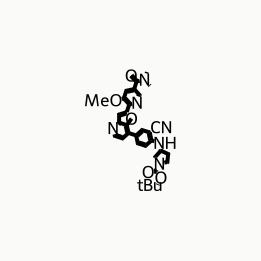 COc1cc(C(=O)N(C)C)cnc1-c1cc2nccc(-c3ccc(NC4CCN(C(=O)OC(C)(C)C)C4)c(C#N)c3)c2o1